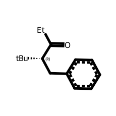 CCC(=O)[C@H](Cc1ccccc1)C(C)(C)C